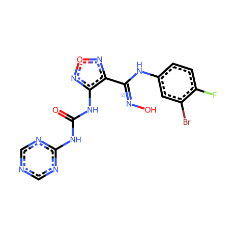 O=C(Nc1ncncn1)Nc1nonc1/C(=N/O)Nc1ccc(F)c(Br)c1